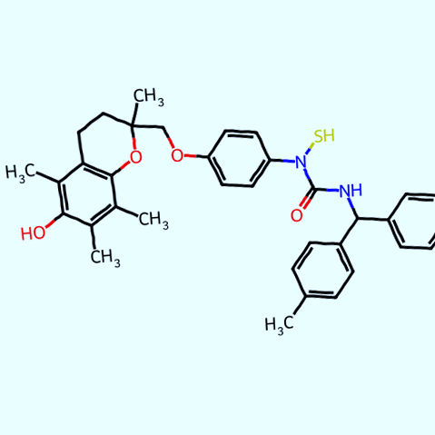 Cc1ccc(C(NC(=O)N(S)c2ccc(OCC3(C)CCc4c(C)c(O)c(C)c(C)c4O3)cc2)c2ccccc2)cc1